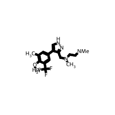 CNCCN(C)Cc1n[nH]cc1-c1cc(C)c(OC(C)C)c(C(F)(F)P)c1